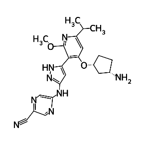 COc1nc(C(C)C)cc(O[C@@H]2CC[C@H](N)C2)c1-c1cc(Nc2cnc(C#N)cn2)n[nH]1